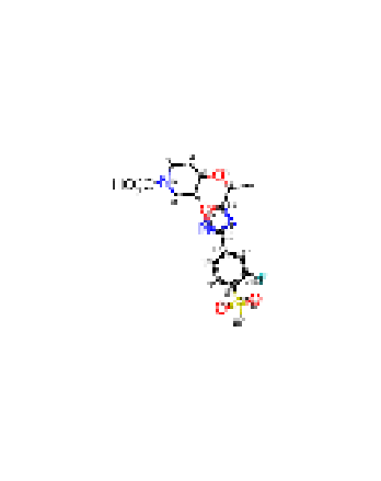 CC(OC1CCN(C(=O)O)CC1)c1nc(-c2ccc(S(C)(=O)=O)c(F)c2)no1